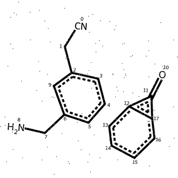 N#CCc1cccc(CN)c1.O=c1c2ccccc12